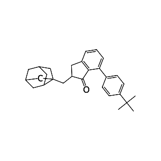 CC(C)(C)c1ccc(-c2cccc3c2C(=O)C(CC24CC5CC(CC2C5)C4)C3)cc1